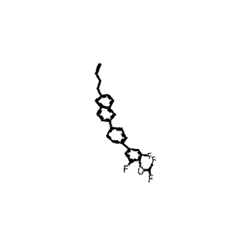 C=CCCc1ccc2cc(-c3ccc(-c4cc(F)c(OC(F)F)c(F)c4)cc3)ccc2c1